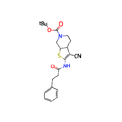 CC(C)(C)OC(=O)N1CCC2C(C#N)=C(NC(=O)CCc3ccccc3)SC2C1